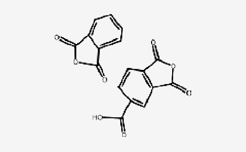 O=C(O)c1ccc2c(c1)C(=O)OC2=O.O=C1OC(=O)c2ccccc21